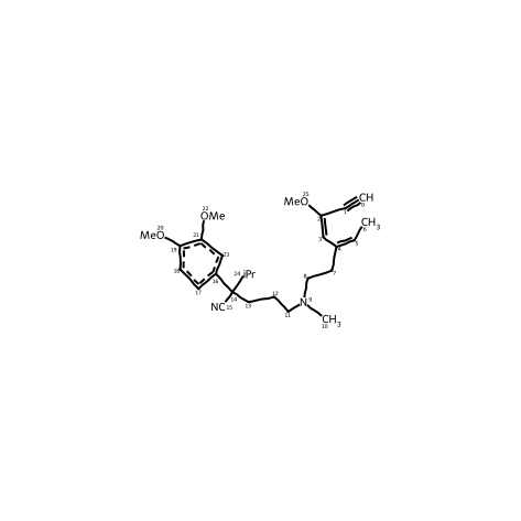 C#C/C(=C\C(=C/C)CCN(C)CCCC(C#N)(c1ccc(OC)c(OC)c1)C(C)C)OC